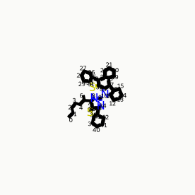 C=C/C=C\C=C(/C)c1nc(-n2c3ccccc3c3c4ccccc4c4c5ccccc5sc4c32)nc2c1sc1ccccc12